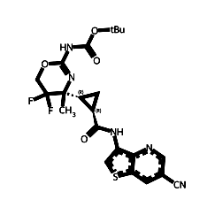 CC(C)(C)OC(=O)NC1=NC(C)([C@@H]2C[C@H]2C(=O)Nc2csc3cc(C#N)cnc23)C(F)(F)CO1